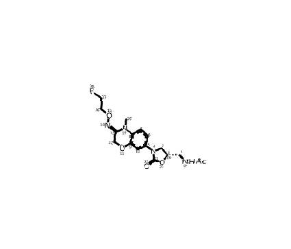 CC(=O)NC[C@H]1CN(c2ccc3c(c2)OCC(=NOCCF)N3C)C(=O)O1